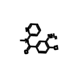 CN(C(=O)c1ccc(Cl)c(N)c1)c1ccccn1